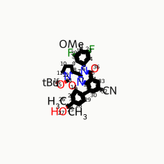 COc1c(F)cc(-n2c(C3CCCN3C(=O)OC(C)(C)C)nc3c(-c4ccc(C(C)(C)O)cc4)cc(C#N)cc3c2=O)cc1F